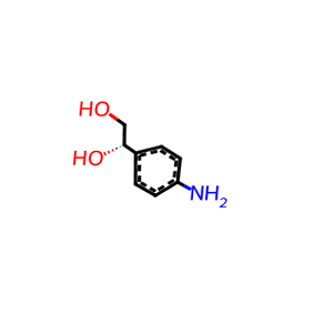 Nc1ccc([C@H](O)CO)cc1